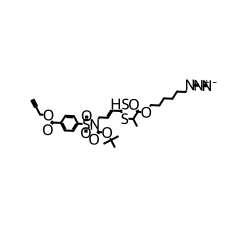 C#CCOC(=O)c1ccc(S(=O)(=O)N(C/C=C/C(S)SC(C)C(=O)OCCCCCCN=[N+]=[N-])C(=O)OC(C)(C)C)cc1